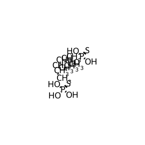 C.CC.CC.CC.CC.OP(O)(O)=S.OP(O)(O)=S